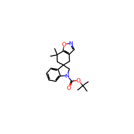 CC(C)(C)OC(=O)N1CC2(Cc3cnoc3C(C)(C)C2)c2ccccc21